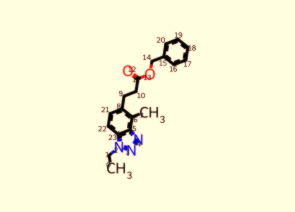 CCn1nnc2c(C)c(CCC(=O)OCc3ccccc3)ccc21